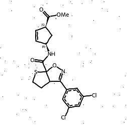 COC(=O)[C@@H]1C=C[C@H](NC(=O)C23ON=C(c4cc(Cl)cc(Cl)c4)C2CCS3)C1